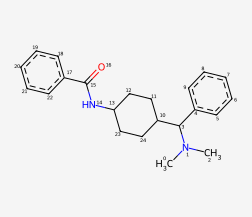 CN(C)C(c1ccccc1)C1CCC(NC(=O)c2ccccc2)CC1